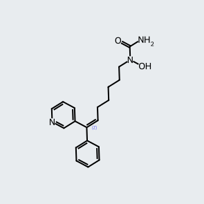 NC(=O)N(O)CCCCC/C=C(/c1ccccc1)c1cccnc1